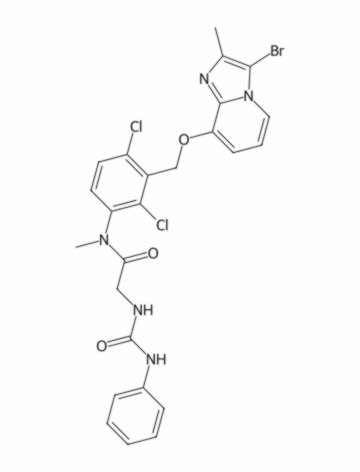 Cc1nc2c(OCc3c(Cl)ccc(N(C)C(=O)CNC(=O)Nc4ccccc4)c3Cl)cccn2c1Br